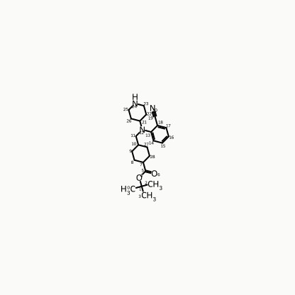 CC(C)(C)OC(=O)C1CCC(CN(c2ccccc2C#N)C2CCNCC2)CC1